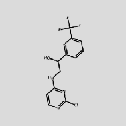 OC(CNc1ccnc(Cl)n1)c1cccc(C(F)(F)F)c1